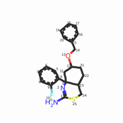 NC1=NC2(c3ccccc3F)CC(OCc3ccccc3)CCC2CS1